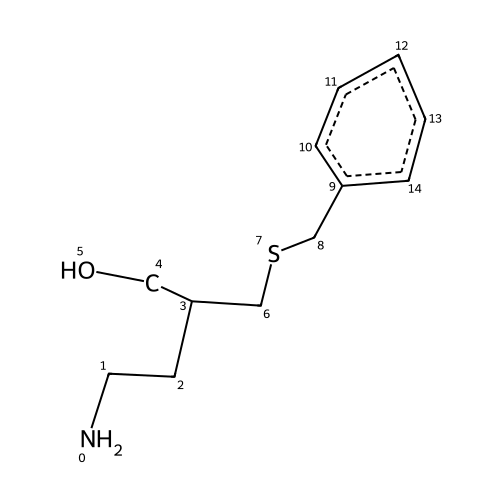 NCCC(CO)CSCc1ccccc1